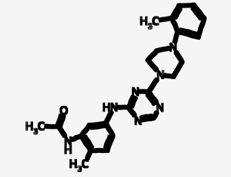 CC(=O)Nc1cc(Nc2ncnc(N3CCN(c4ccccc4C)CC3)n2)ccc1C